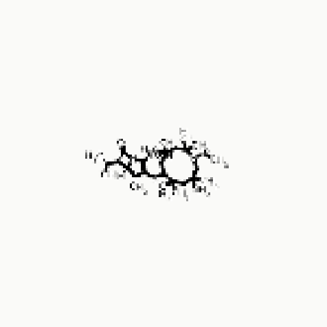 CBN1CC(C)(N)CC(C)(C)C(SC2=C(C(=O)O)N3C(=O)[C@H]([C@@H](C)O)[C@H]3[C@H]2C)CC(C)(C)CC1(C)C